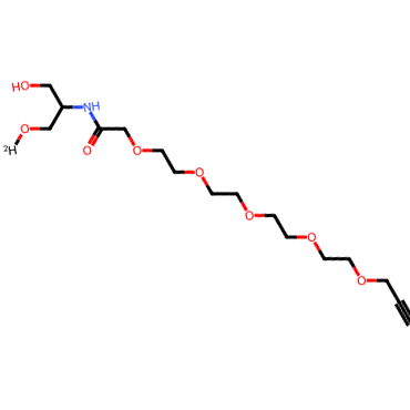 [2H]OCC(CO)NC(=O)COCCOCCOCCOCCOCC#C